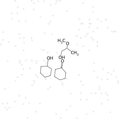 COC(C)CO.O=C1CCCCC1.OC1CCCCC1